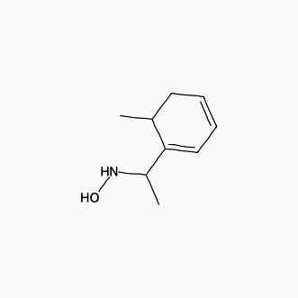 CC1CC=CC=C1C(C)NO